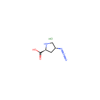 Cl.[N-]=[N+]=N[C@@H]1CN[C@H](C(=O)O)C1